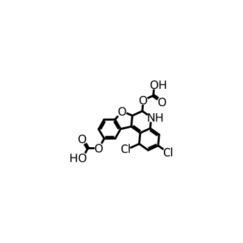 O=C(O)Oc1ccc2c(c1)C1=C3C(=CC(Cl)=CC3Cl)NC(OC(=O)O)C1O2